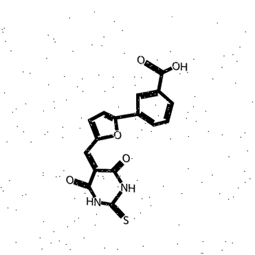 O=C1NC(=S)NC(=O)C1=Cc1ccc(-c2cccc(C(=O)O)c2)o1